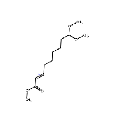 COC(=O)/C=C/CCCCCC(OC)OC